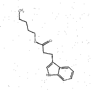 CCCCCOC(=O)CCc1c[nH]c2ccccc12